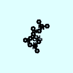 CC1(C)c2cc3c(cc2-c2cc4c5ccccc5n(-c5cccc(-c6nc(-c7ccccc7)cc(-c7ccccc7)n6)c5)c4cc21)c1c(n3-c2cccc(-c3nc(-c4ccccc4)cc(-c4ccccc4)n3)c2)CCC=C1